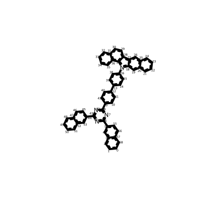 c1ccc2cc(-c3nc(-c4ccc(-c5ccc(-n6c7cc8ccccc8cc7c7ccc8ccccc8c76)cc5)cc4)nc(-c4ccc5ccccc5c4)n3)ccc2c1